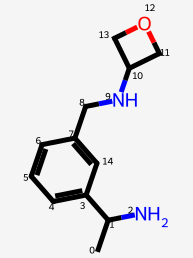 CC(N)c1cccc(CNC2COC2)c1